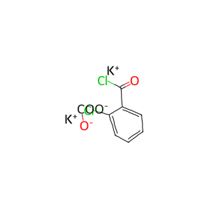 O=C(Cl)c1ccccc1Cl.O=C([O-])[O-].[K+].[K+]